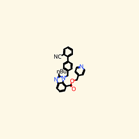 CCCCc1nc2cccc(C(=O)OCc3ccncc3)c2n1Cc1ccc(-c2ccccc2C#N)cc1